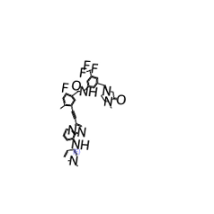 C=C/C(=C\N(C)C)Nc1cccn2c(C#Cc3cc(C(=O)Nc4cc(CN5CCN(C)C(=O)C5)cc(C(F)(F)F)c4)c(F)cc3C)cnc12